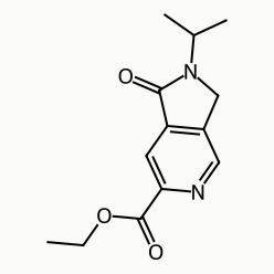 CCOC(=O)c1cc2c(cn1)CN(C(C)C)C2=O